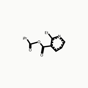 CCc1ncccc1C(=O)OC(=O)C(C)C